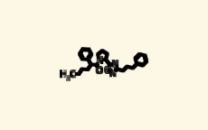 CCCCC(C(=O)N1CCCC1c1nc(CCCc2ccccc2)no1)c1ccccc1